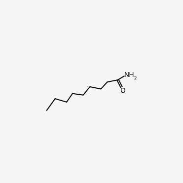 CCCCC[CH]CCC(N)=O